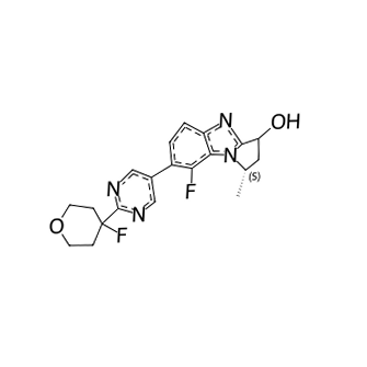 C[C@H]1CC(O)c2nc3ccc(-c4cnc(C5(F)CCOCC5)nc4)c(F)c3n21